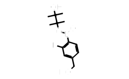 CC(C)(O)C(C)(C)OB(O)c1ccc(CO)cc1F